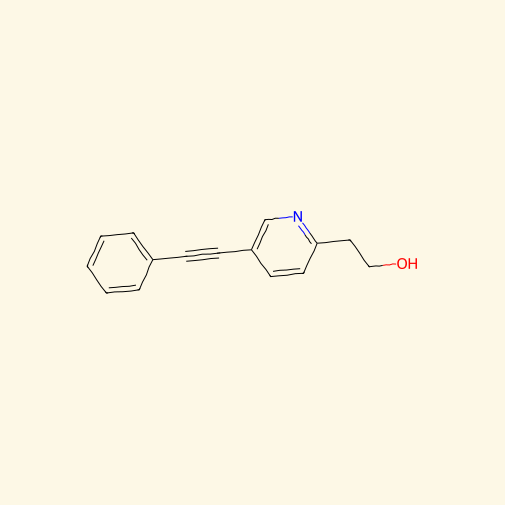 OCCc1ccc(C#Cc2ccccc2)cn1